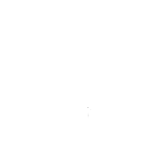 c1ccc(-c2ccc(N(c3ccc4c(c3)-c3ccccc3C4(c3ccccc3)c3ccccc3)c3nccc4oc5cc6ccccc6cc5c34)cc2)cc1